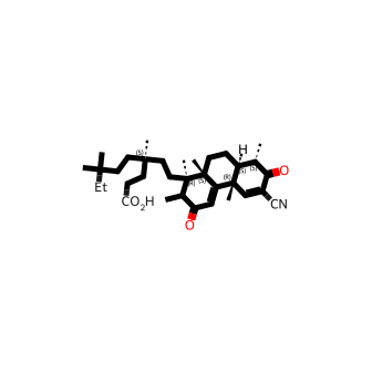 CCC(C)(C)CC[C@](C)(CCC(=O)O)CC[C@]1(C)C(C)C(=O)C=C2[C@@]3(C)C=C(C#N)C(=O)[C@@H](C)[C@@H]3CC[C@]21C